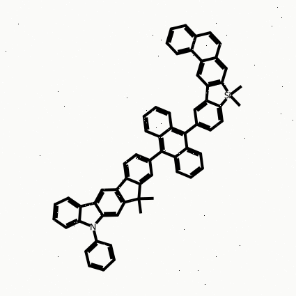 CC1(C)c2cc(-c3c4ccccc4c(-c4ccc5c(c4)-c4cc6c(ccc7ccccc76)cc4[Si]5(C)C)c4ccccc34)ccc2-c2cc3c4ccccc4n(-c4ccccc4)c3cc21